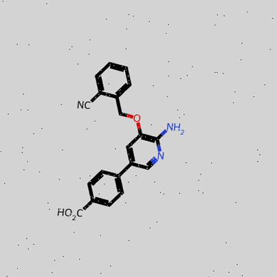 N#Cc1ccccc1COc1cc(-c2ccc(C(=O)O)cc2)cnc1N